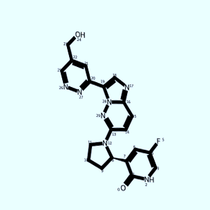 O=c1[nH]cc(F)cc1[C@H]1CCCN1c1ccc2ncc(-c3cc(CO)cnn3)n2n1